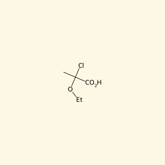 CCOC(C)(Cl)C(=O)O